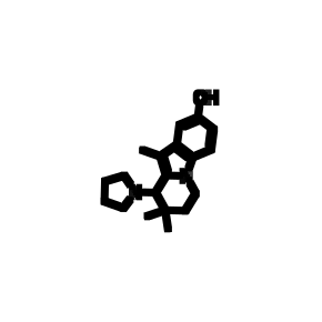 Cc1c2n(c3ccc(O)cc13)CCC(C)(C)C2N1CCCC1